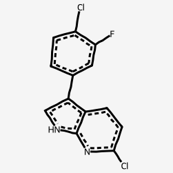 Fc1cc(-c2c[nH]c3nc(Cl)ccc23)ccc1Cl